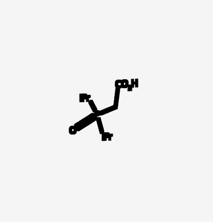 CC(C)P(=O)(CC(=O)O)C(C)C